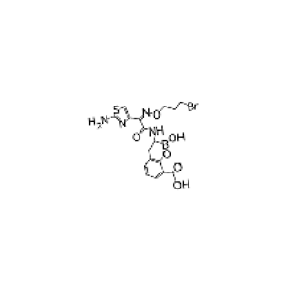 Nc1nc(C(=NOCCCBr)C(=O)NC2Cc3cccc(C(=O)O)c3OB2O)cs1